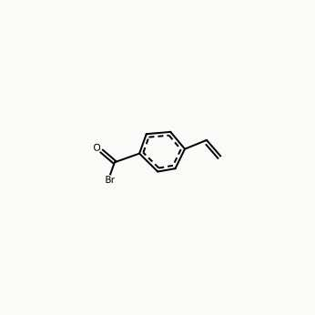 C=Cc1ccc(C(=O)Br)cc1